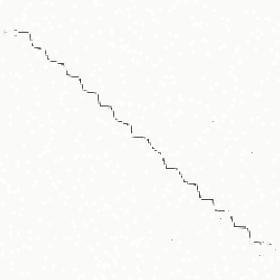 CCCCCCCCCCCCCCCCCCCCCCCCCCCCON